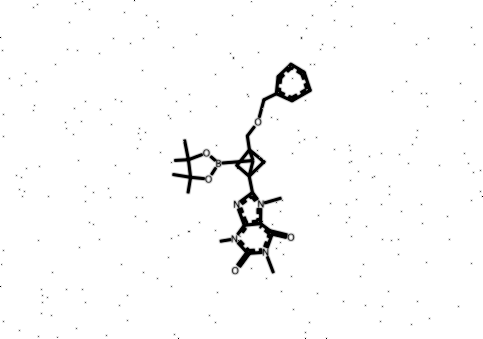 Cn1c(=O)c2c(nc(C34CC(COCc5ccccc5)(C3)C4B3OC(C)(C)C(C)(C)O3)n2C)n(C)c1=O